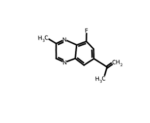 C=C(C)c1cc(F)c2nc(C)cnc2c1